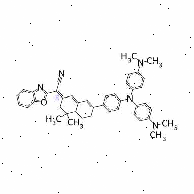 CN(C)c1ccc(N(c2ccc(C3=CC4=C/C(=C(\C#N)c5nc6ccccc6o5)CC(C)(C)C4CC3)cc2)c2ccc(N(C)C)cc2)cc1